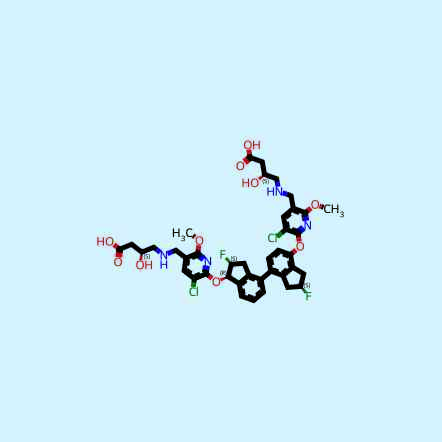 COc1nc(Oc2ccc(-c3cccc4c3C[C@H](F)[C@@H]4Oc3nc(OC)c(CNC[C@@H](O)CC(=O)O)cc3Cl)c3c2C[C@@H](F)C3)c(Cl)cc1CNC[C@@H](O)CC(=O)O